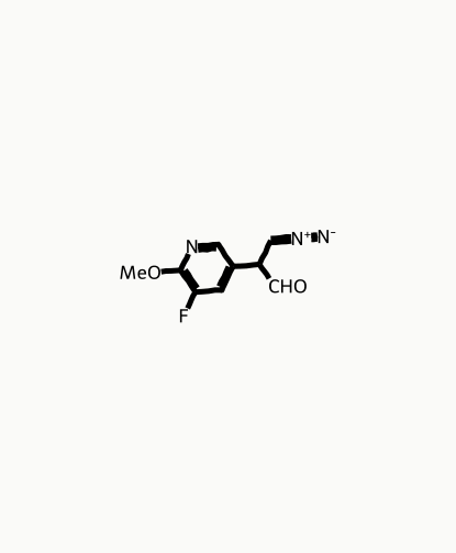 COc1ncc(C(C=O)C=[N+]=[N-])cc1F